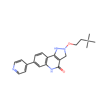 C[Si](C)(C)CCON1Cc2c(c3ccc(-c4ccncc4)cc3[nH]c2=O)N1